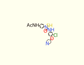 CC(=O)Nc1ccc(N(S)C(=O)Nc2ccc(OC3CCN(C)CC3)c(Cl)c2)cc1